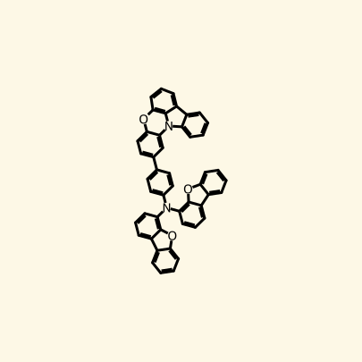 c1ccc2c(c1)oc1c(N(c3ccc(-c4ccc5c(c4)-n4c6ccccc6c6cccc(c64)O5)cc3)c3cccc4c3oc3ccccc34)cccc12